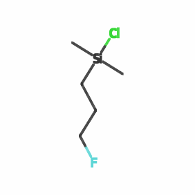 C[Si](C)(Cl)CCCF